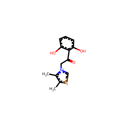 Cc1sc[n+](CC(=O)c2c(O)cccc2O)c1C